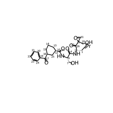 CC(C)C[C@H](NC(=O)[C@H](CO)NC(=O)[C@@H]1CCCC(C(=O)c2ccccc2)C1)C(=O)[C@@]1(CO)CO1